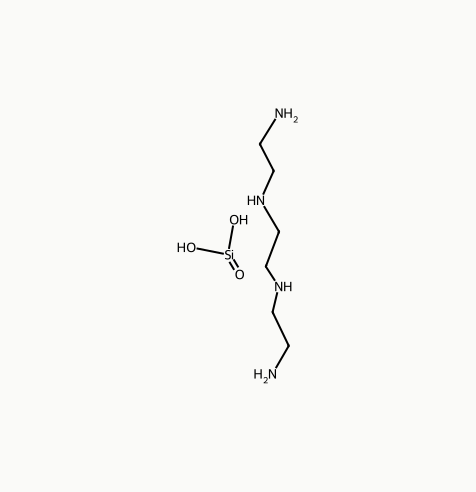 NCCNCCNCCN.O=[Si](O)O